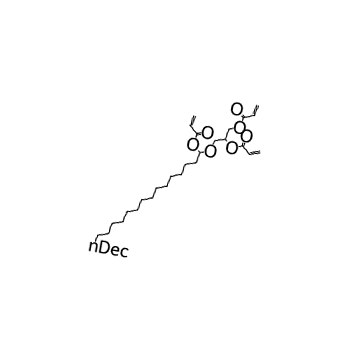 C=CC(=O)OCC(COC(CCCCCCCCCCCCCCCCCCCCCCCC)OC(=O)C=C)OC(=O)C=C